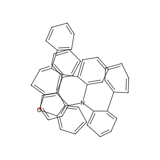 c1ccc(-c2ccccc2N(c2ccccc2-c2ccccc2)c2ccccc2-c2c(-c3ccccc3)ccc3oc4ccccc4c23)cc1